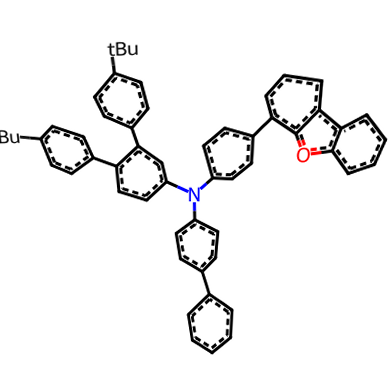 CC(C)(C)c1ccc(-c2ccc(N(c3ccc(-c4ccccc4)cc3)c3ccc(-c4cccc5c4oc4ccccc45)cc3)cc2-c2ccc(C(C)(C)C)cc2)cc1